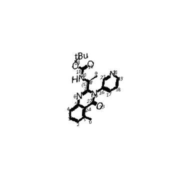 Cc1cccc2nc([C@H](C)NC(=O)OC(C)(C)C)n(-c3cccnc3)c(=O)c12